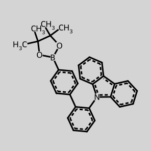 CC1(C)OB(c2ccc(-c3ccccc3-n3c4ccccc4c4ccccc43)cc2)OC1(C)C